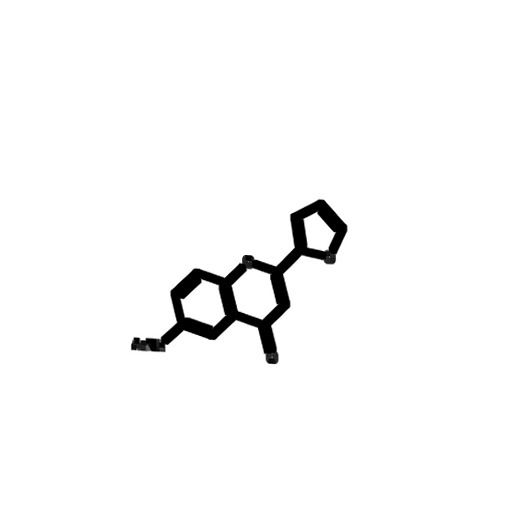 CC(=O)Nc1ccc2oc(-c3ccco3)cc(=O)c2c1